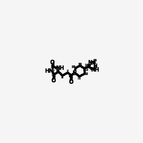 O=C1NC(=O)C(CCC(=O)N2CCC(c3ncn[nH]3)CC2)N1